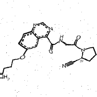 N#C[C@@H]1CCCN1C(=O)CNC(=O)c1ncnc2ccc(OCCCN)cc12